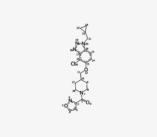 O=C(c1ccon1)N1CCC(COc2ccc3c(nnn3CC3CC3)c2Cl)CC1